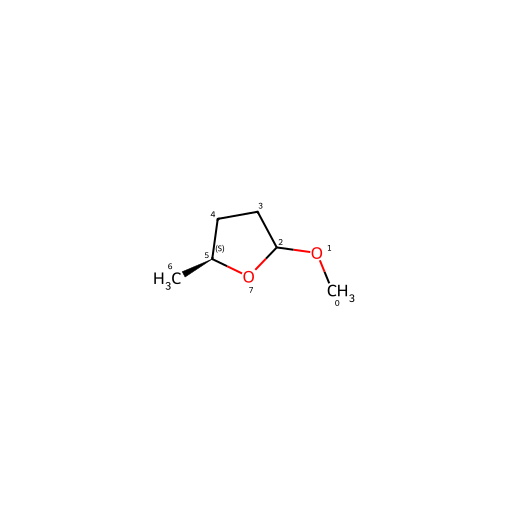 COC1CC[C@H](C)O1